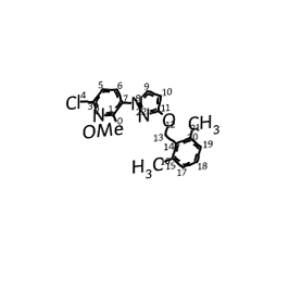 COc1nc(Cl)ccc1-n1ccc(OCc2c(C)cccc2C)n1